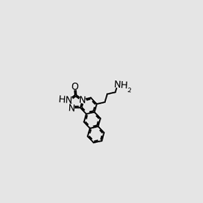 NCCCc1cn2c(=O)[nH]nc2c2cc3ccccc3cc12